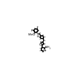 COc1c(F)cc(F)cc1NCc1ccc(Cc2cc(-c3cccnc3N)on2)cc1